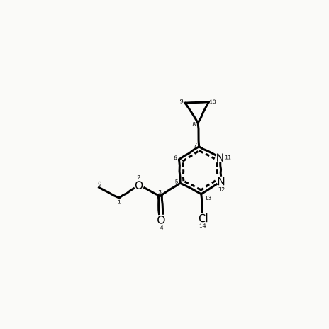 CCOC(=O)c1cc(C2CC2)nnc1Cl